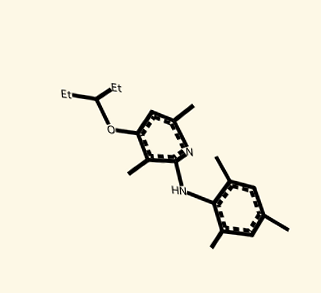 CCC(CC)Oc1cc(C)nc(Nc2c(C)cc(C)cc2C)c1C